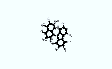 [2H]c1cc([2H])c2c3c([2H])c([2H])c([2H])c([2H])c3n(-c3c([2H])c([2H])c([2H])c4c([2H])c([2H])c([2H])c([2H])c34)c2c1[2H]